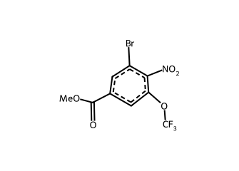 COC(=O)c1cc(Br)c([N+](=O)[O-])c(OC(F)(F)F)c1